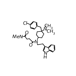 CNC(=O)CCC(=O)N(CCc1c[nH]c2ccccc12)C1CCC(Cc2ccc(Cl)cc2)(N(C)C)CC1